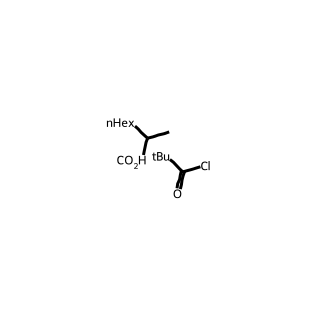 CC(C)(C)C(=O)Cl.CCCCCCC(C)C(=O)O